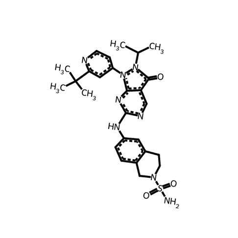 CC(C)n1c(=O)c2cnc(Nc3ccc4c(c3)CCN(S(N)(=O)=O)C4)nc2n1-c1ccnc(C(C)(C)C)c1